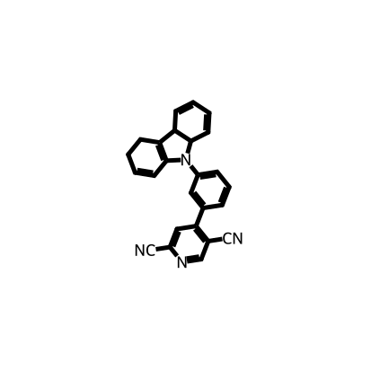 N#Cc1cc(-c2cccc(N3C4=C(CCC=C4)C4C=CC=CC43)c2)c(C#N)cn1